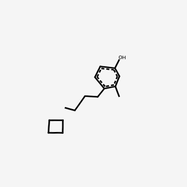 C1CCC1.CCCCc1ccc(O)cc1C